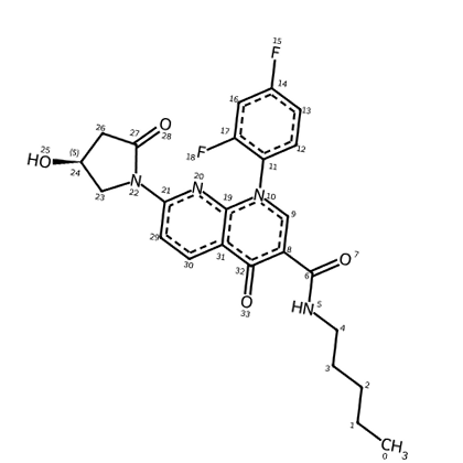 CCCCCNC(=O)c1cn(-c2ccc(F)cc2F)c2nc(N3C[C@@H](O)CC3=O)ccc2c1=O